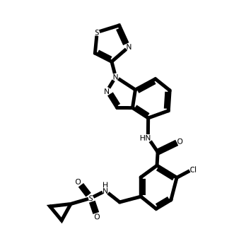 O=C(Nc1cccc2c1cnn2-c1cscn1)c1cc(CNS(=O)(=O)C2CC2)ccc1Cl